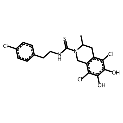 CC1Cc2c(Cl)c(O)c(O)c(Cl)c2CN1C(=S)NCCc1ccc(Cl)cc1